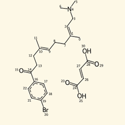 CC(=CCN(C)C)CCC=C(C)CCC(=O)c1ccc(Br)cc1.O=C(O)C=CC(=O)O